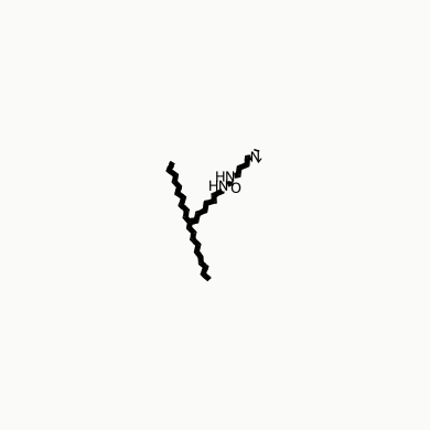 CCCCCCCCCCC(=CCCCCCCNC(=O)NCCCCN(C)C)CCCCCCCCCC